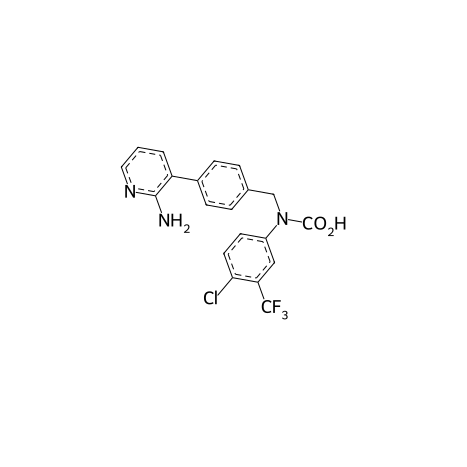 Nc1ncccc1-c1ccc(CN(C(=O)O)c2ccc(Cl)c(C(F)(F)F)c2)cc1